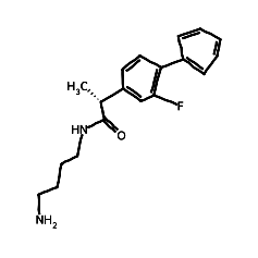 C[C@@H](C(=O)NCCCCN)c1ccc(-c2ccccc2)c(F)c1